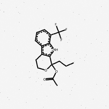 CCCC1(OC(C)=O)OCCc2c1[nH]c1c(C(F)(F)F)cccc21